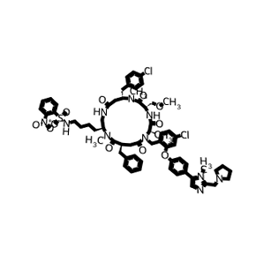 COC[C@@H]1NC(=O)[C@H](C)N(Cc2ccc(Cl)cc2Oc2ccc(-c3cnc(CN4CCCC4)n3C)cc2)C(=O)C[C@@H](Cc2ccccc2)C(=O)N(C)[C@@H](CCCCNS(=O)(=O)c2ccccc2[N+](=O)[O-])CNC(=O)C[C@H](Cc2ccc(Cl)cc2)N(C)C1=O